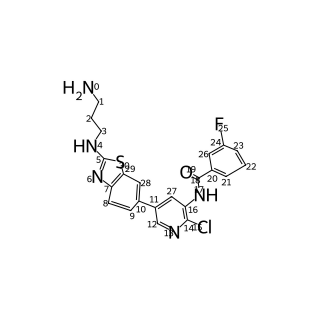 NCCCNc1nc2ccc(-c3cnc(Cl)c(NC(=O)c4cccc(F)c4)c3)cc2s1